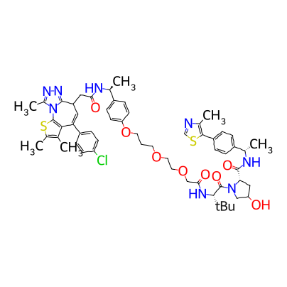 Cc1ncsc1-c1ccc([C@H](C)NC(=O)[C@@H]2CC(O)CN2C(=O)[C@@H](NC(=O)COCCOCCCOc2ccc([C@H](C)NC(=O)CC3C=C(c4ccc(Cl)cc4)c4c(sc(C)c4C)-n4c(C)nnc43)cc2)C(C)(C)C)cc1